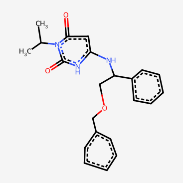 CC(C)n1c(=O)cc(NC(COCc2ccccc2)c2ccccc2)[nH]c1=O